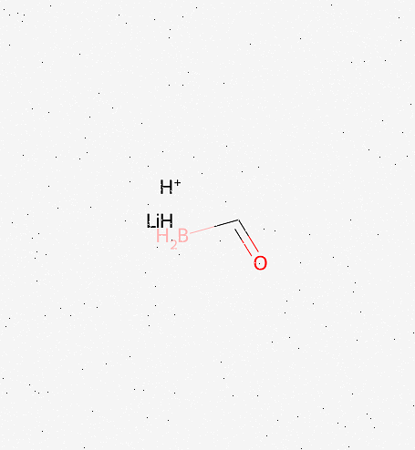 BC=O.[H+].[LiH]